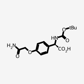 CC(C)(C)OC(=O)N[C@@H](C(=O)O)c1ccc(OCC(N)=O)cc1